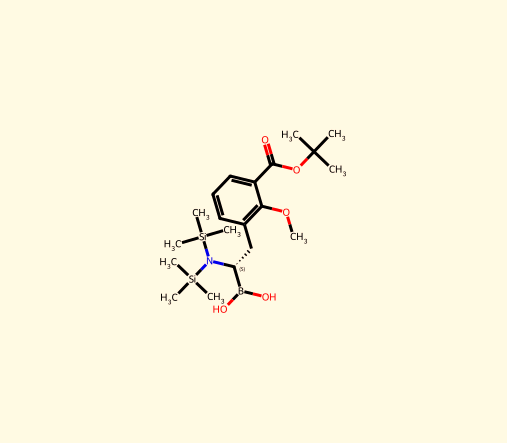 COc1c(C[C@H](B(O)O)N([Si](C)(C)C)[Si](C)(C)C)cccc1C(=O)OC(C)(C)C